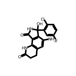 Nc1cc2c(c3c1C(O)(c1cc(F)ccc1Cl)NC3=O)NC(=O)CC2